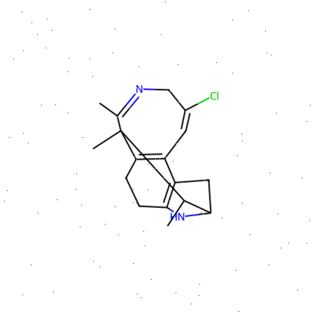 C/C1=N/C/C(Cl)=C\C2=C3CCC4=C2CC(N4)C(C)C31C